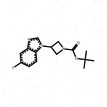 CC(C)(C)OC(=O)N1CC(n2cnc3cc(F)ccc32)C1